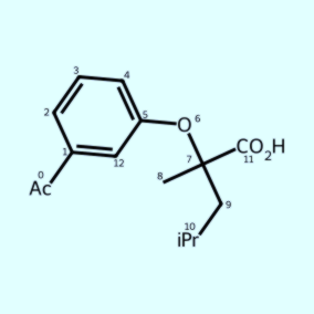 CC(=O)c1cccc(OC(C)(CC(C)C)C(=O)O)c1